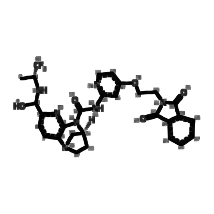 C[C@@H](NC(O)c1ccc2c(n1)N(C(=O)Nc1cc(OCCN3C(=O)c4ccccc4C3=O)ccn1)[C@H]1CCN2C1)C(F)(F)F